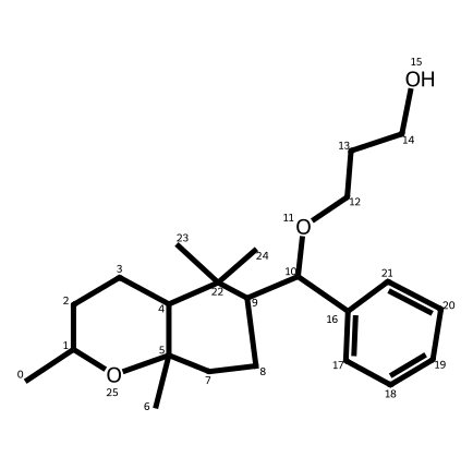 CC1CCC2C(C)(CCC(C(OCCCO)c3ccccc3)C2(C)C)O1